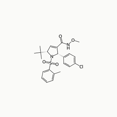 CONC(=O)C1=C[C@@H](C(C)(C)C)N(S(=O)(=O)c2ccccc2C)[C@H]1c1ccc(Cl)cc1